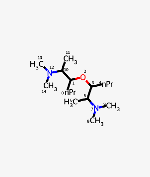 CCCC(OC(CCC)C(C)N(C)C)C(C)N(C)C